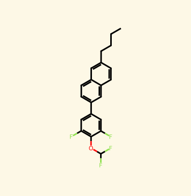 CCCCc1ccc2cc(-c3cc(F)c(OC(F)F)c(F)c3)ccc2c1